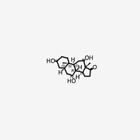 C[C@]12CC[C@@H](O)C[C@H]1C[C@@H](O)[C@@H]1[C@@H]2C[C@@H](O)[C@]2(C)C(=O)CC[C@@H]12